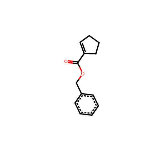 O=C(OCc1ccccc1)C1=CCCC1